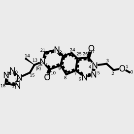 COCCn1nnc2cc3c(=O)n([C@H](C)Cn4ncnn4)cnc3cc2c1=O